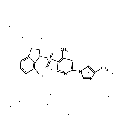 Cc1cn(-c2cc(C)c(S(=O)(=O)N3CCc4cccc(C)c43)cn2)cn1